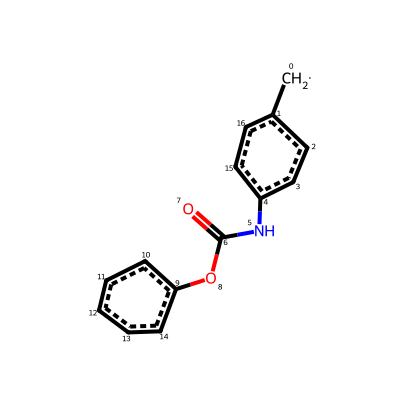 [CH2]c1ccc(NC(=O)Oc2ccccc2)cc1